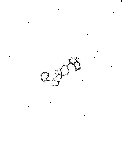 O=C1N2C(CCC2c2ccccc2)OC12CCN(c1ncnc3ccnn13)CC2F